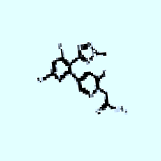 Cn1nnc(-c2c(F)cc(Cl)cc2-c2cnc(CC(N)=O)c(F)c2)n1